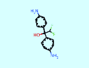 Nc1ccc(C(O)(c2ccc(N)cc2)C(F)F)cc1